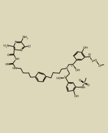 COOSNc1cc([C@@H](O)CN(CCCCc2ccc(CCCCNC(=N)NC(=O)c3nc(Cl)c(N)nc3N)cc2)C[C@H](O)c2ccc(O)c(NS(C)(=O)=O)c2)ccc1O